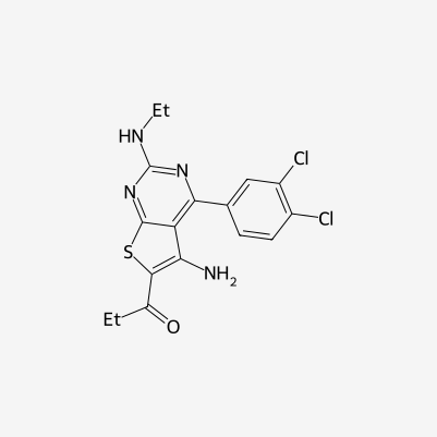 CCNc1nc(-c2ccc(Cl)c(Cl)c2)c2c(N)c(C(=O)CC)sc2n1